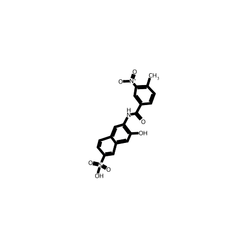 Cc1ccc(C(=O)Nc2cc3ccc(S(=O)(=O)O)cc3cc2O)cc1[N+](=O)[O-]